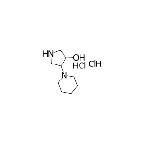 Cl.Cl.OC1CNCC1N1CCCCC1